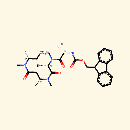 CC[C@H](C)[C@H](NC(=O)OCC1c2ccccc2-c2ccccc21)C(=O)N(C)[C@H](C(=O)N(C)[C@H](C)CC(=O)N(C)[C@H](C)CC(=O)O)C(C)C